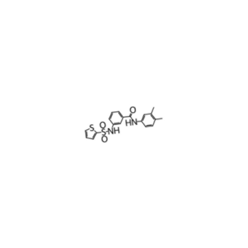 Cc1ccc(NC(=O)c2cccc(NS(=O)(=O)c3cccs3)c2)cc1C